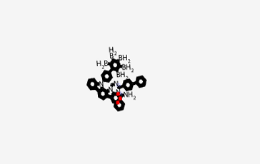 Bc1c(B)c(B)c(-c2ccc(-n3c4ccccc4c4ccc5c6ccccc6n(C/N=C(\N=C(/N)c6ccccc6)c6ccc(-c7ccccc7)cc6)c5c43)cc2)c(B)c1B